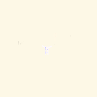 Cc1ccccc1C(=O)NCCC#N